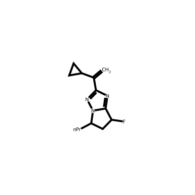 C=C(c1nc2n(n1)C(CCC)CC2F)C1CC1